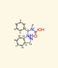 CN(C(=O)O)C(c1ccccc1)N1NCc2ccccc21